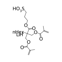 C=C(C)C(=O)OCC(CCCCCC)(COC(=O)C(=C)C)C(=O)OCCCS(=O)(=O)O.[LiH]